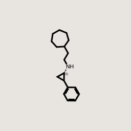 c1ccc(C2C[C@@H]2NCCC2CCCCCC2)cc1